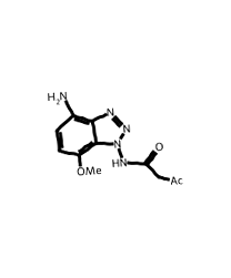 COc1ccc(N)c2nnn(NC(=O)CC(C)=O)c12